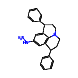 NNc1cc2c3c(c1)C(c1ccccc1)CCN3CCC2c1ccccc1